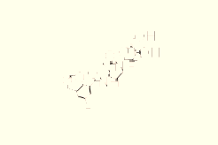 O=C(Nc1ccn(C2O[C@H](CO)[C@@H](O)C2(F)F)c(=O)n1)c1cc(F)cc2c1OCOC2